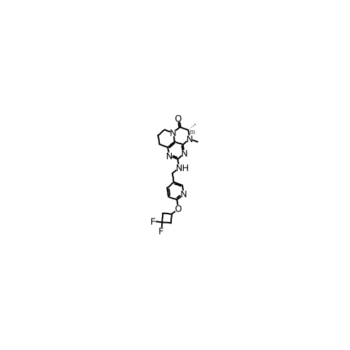 C[C@H]1C(=O)N2CCCc3nc(NCc4ccc(OC5CC(F)(F)C5)nc4)nc(c32)N1C